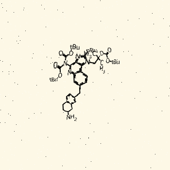 CCCCc1nc2c(N(C(=O)OC(C)(C)C)C(=O)OC(C)(C)C)nc3cc(Cc4ccc5c(c4)CC(N)CC5)ccc3c2n1CC(C)(C)OC(=O)OC(C)(C)C